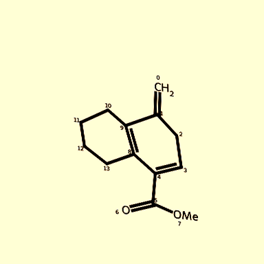 C=C1CC=C(C(=O)OC)C2=C1CCCC2